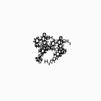 CCOCc1ccc(C(O)(c2ccc3c(c2)c(-c2cccc(Cl)c2)cc(=O)n3C)c2cncn2C)cc1.Cn1cncc1C(O)(c1ccc(CSc2nccs2)cc1)c1ccc2c(c1)c(-c1cccc(Cl)c1)cc(=O)n2C